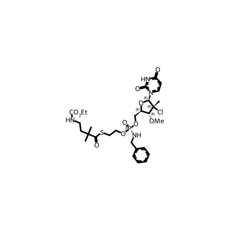 CCOC(=O)NCCC(C)(C)C(=O)SCCO[P@](=O)(NCc1ccccc1)OC[C@H]1O[C@@H](n2ccc(=O)[nH]c2=O)[C@](C)(Cl)[C@@H]1OC